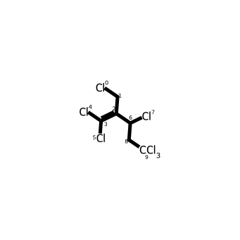 ClCC(=C(Cl)Cl)C(Cl)CC(Cl)(Cl)Cl